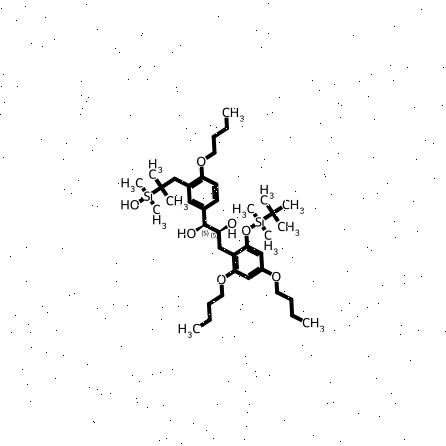 CCCCOc1cc(OCCCC)c(C[C@H](O)[C@@H](O)c2ccc(OCCCC)c(CC(C)(C)[Si](C)(C)O)c2)c(O[Si](C)(C)C(C)(C)C)c1